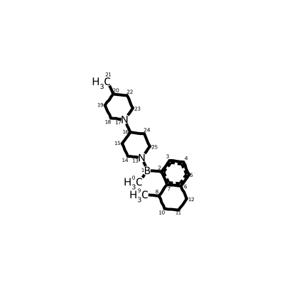 CB(c1cccc2c1C(C)CCC2)N1CCC(N2CCC(C)CC2)CC1